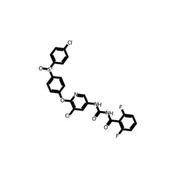 O=C(NC(=O)c1c(F)cccc1F)Nc1cnc(Oc2ccc([S+]([O-])c3ccc(Cl)cc3)cc2)c(Cl)c1